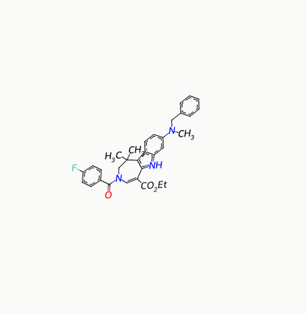 CCOC(=O)C1=CN(C(=O)c2ccc(F)cc2)CC(C)(C)c2c1[nH]c1cc(N(C)Cc3ccccc3)ccc21